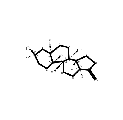 C=C1CC[C@H]2[C@@H]3CC[C@@H]4C[C@](C)(O)CC[C@]4(F)[C@H]3CC[C@]12C